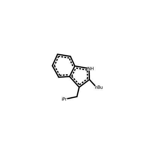 CCCCc1[nH]c2ccccc2c1CC(C)C